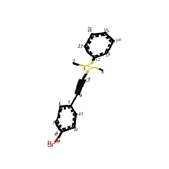 CS(C)(C#Cc1ccc(Br)cc1)c1ccccc1